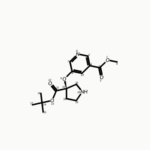 COC(=O)c1cncc(O[C@]2(C(=O)OC(C)(C)C)CCNC2)c1